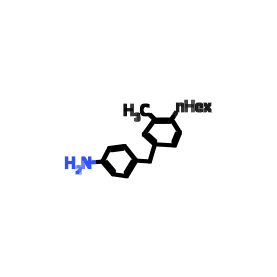 CCCCCCc1ccc(Cc2ccc(N)cc2)cc1C